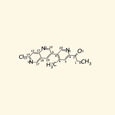 CCC(=O)c1cc(C)c(-c2cnc3cc(Cl)ncc3c2)cn1